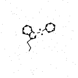 NCCc1cn(S(=O)(=O)c2ccccc2)c2ccccc12